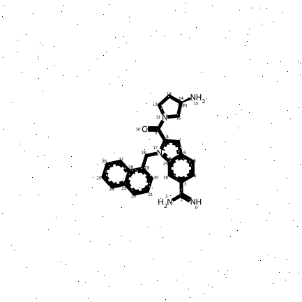 N=C(N)c1ccc2cc(C(=O)N3CC[C@@H](N)C3)n(Cc3cccc4ccccc34)c2c1